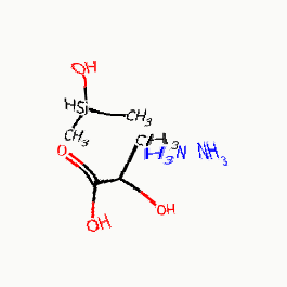 CC(O)C(=O)O.C[SiH](C)O.N.N